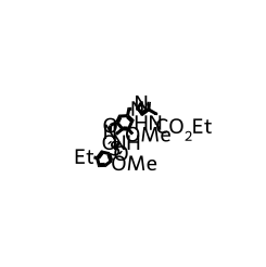 CCOC(=O)NCc1cnn(Cc2cc(OC)c3c(NS(=O)(=O)c4cc(CC)ccc4OC)noc3c2)c1